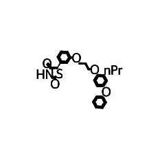 CCCc1cc(Oc2ccccc2)ccc1OCCCOc1cccc([C@H]2SC(=O)NC2=O)c1